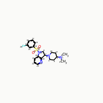 CN(C)C1CCN(C2CN(S(=O)(=O)c3cccc(F)c3)c3cccnc32)CC1